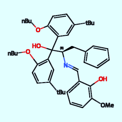 CCCCOc1ccc(C(C)(C)C)cc1C(O)(c1cc(C(C)(C)C)ccc1OCCCC)[C@@H](Cc1ccccc1)N=Cc1cccc(OC)c1O